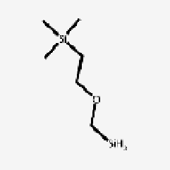 C[Si](C)(C)CCOC[SiH3]